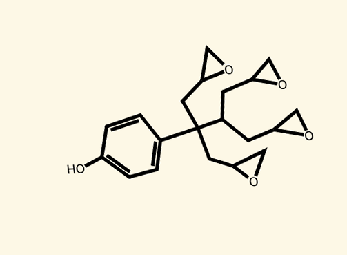 Oc1ccc(C(CC2CO2)(CC2CO2)C(CC2CO2)CC2CO2)cc1